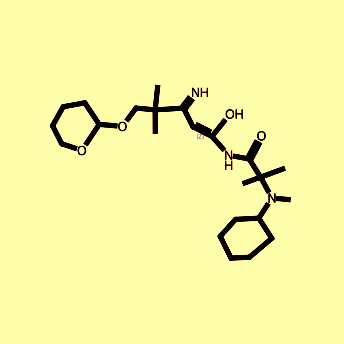 CN(C1CCCCC1)C(C)(C)C(=O)N/C(O)=C/C(=N)C(C)(C)COC1CCCCO1